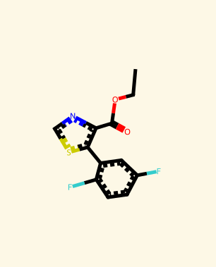 CCOC(=O)c1ncsc1-c1cc(F)ccc1F